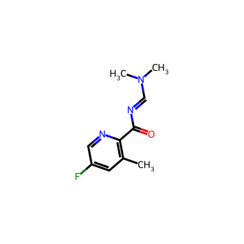 Cc1cc(F)cnc1C(=O)N=CN(C)C